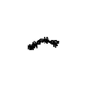 FC(F)(F)Oc1ccc(C=Cc2nc(COc3ccc(-c4nc(Cn5ccnn5)co4)cc3)co2)cc1